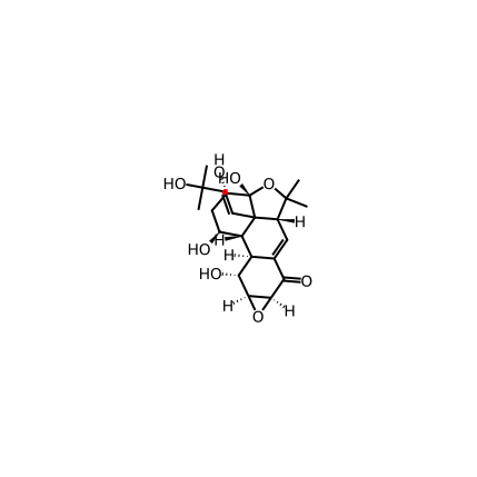 CC(C)(O)/C=C/C12[C@@H]3[C@H]4C(=C[C@H]1C(C)(C)O[C@@]2(O)[C@@H](O)C[C@@H]3O)C(=O)[C@H]1O[C@H]1[C@@H]4O